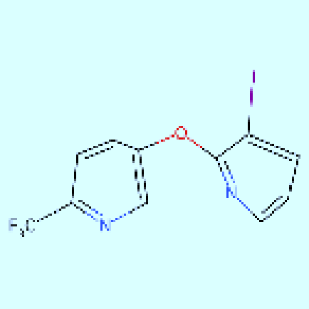 FC(F)(F)c1ccc(Oc2ncccc2I)cn1